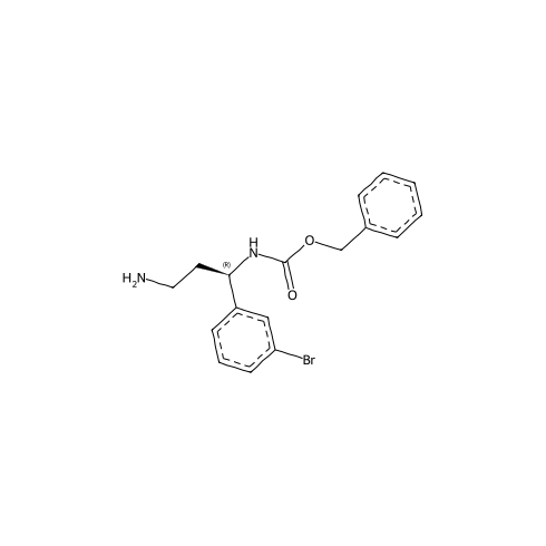 NCC[C@@H](NC(=O)OCc1ccccc1)c1cccc(Br)c1